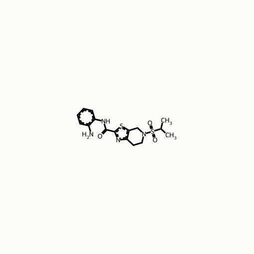 CC(C)S(=O)(=O)N1CCc2nc(C(=O)Nc3ccccc3N)sc2C1